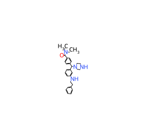 CCN(CC)C(=O)c1ccc(C(c2cccc(NCCc3ccccc3)c2)N2CCNCC2)cc1